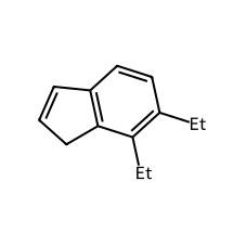 CCc1ccc2c(c1CC)CC=C2